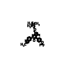 Cn1cc2cc(-n3nc4c(c(I)cn4COCC[Si](C)(C)C)c(-c4ccc(OC(F)F)cc4)c3=O)ccc2n1